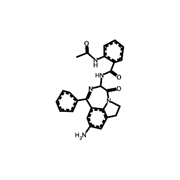 CC(=O)Nc1ccccc1C(=O)NC1N=C(c2ccccc2)c2cc(N)cc3c2N(CC3)C1=O